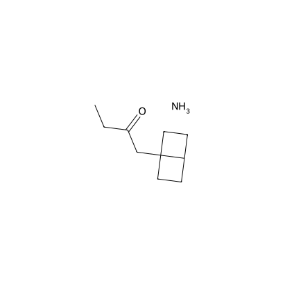 CCC(=O)CC12CCC1CC2.N